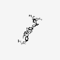 COc1ccc(CN(c2cccc(F)n2)S(=O)(=O)c2c(F)cc(N3CC[C@@]4(CCC4N4CCC(C)(C)C4)C3)cc2F)cc1